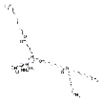 CCCCCCCCCCCOC(=O)CCCCCN1CC(N(N)/C=C(\N)CN(C)C)CC1COCCCCCCCC(=O)OC(CCCCCCCC)CCCCCCCC